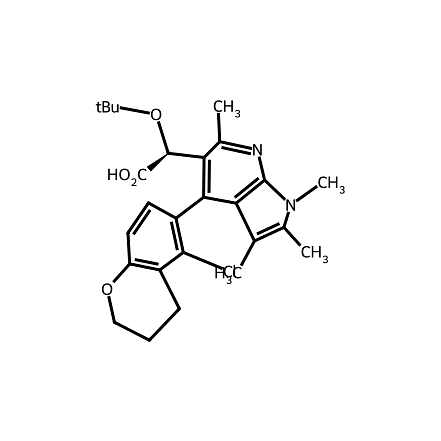 Cc1nc2c(c(C)c(C)n2C)c(-c2ccc3c(c2Cl)CCCO3)c1[C@H](OC(C)(C)C)C(=O)O